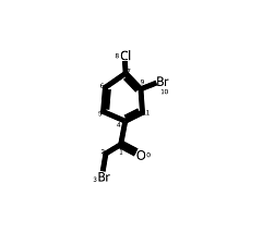 O=C(CBr)c1ccc(Cl)c(Br)c1